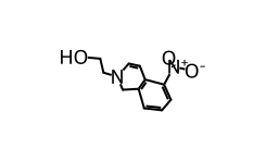 O=[N+]([O-])c1cccc2c1C=CN(CCO)C2